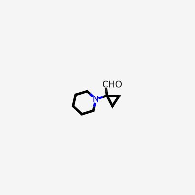 O=CC1(N2CCCCC2)CC1